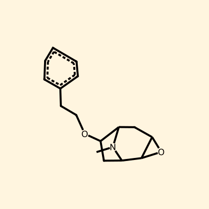 CN1C2CC3OC3C1CC2OCCc1ccccc1